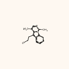 Cc1cnc(C)n2c1c(CCCl)c1ccccc12